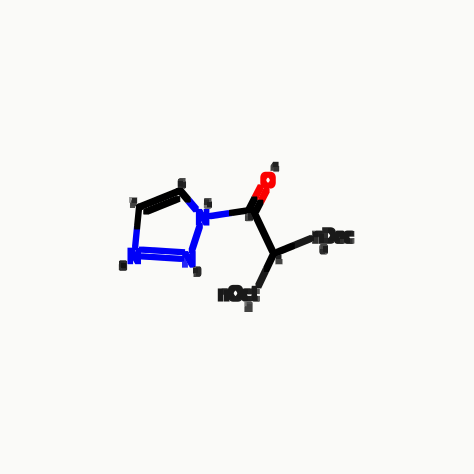 CCCCCCCCCCC(CCCCCCCC)C(=O)n1ccnn1